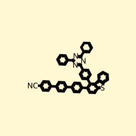 N#Cc1ccc(-c2ccc(-c3ccc(-c4ccc5sc6ccccc6c5c4-c4ccc(-c5nc(C6=CC=CCC6)nc(-c6ccccc6)n5)cc4)cc3)cc2)cc1